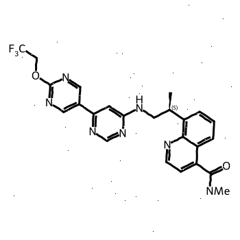 CNC(=O)c1ccnc2c([C@H](C)CNc3cc(-c4cnc(OCC(F)(F)F)nc4)ncn3)cccc12